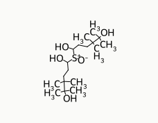 CC(C)(O)C(C)(C)CCC(O)[S+]([O-])C(O)CCC(C)(C)C(C)(C)O